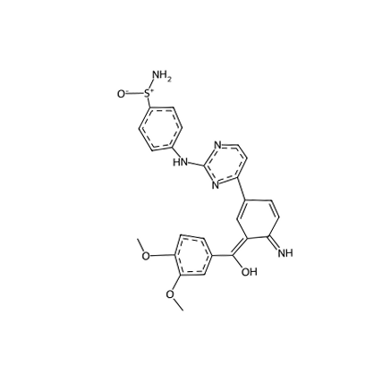 COc1ccc(/C(O)=C2\C=C(c3ccnc(Nc4ccc([S+](N)[O-])cc4)n3)C=CC2=N)cc1OC